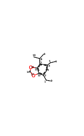 CCc1cc(CC)c(C(C)C)c2c1OCO2